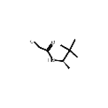 C[C@@H](NC(=O)CCl)C(C)(C)C